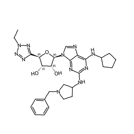 CCn1nnc([C@H]2O[C@@H](n3cnc4c(NC5CCCC5)nc(NC5CCN(Cc6ccccc6)C5)nc43)[C@H](O)[C@@H]2O)n1